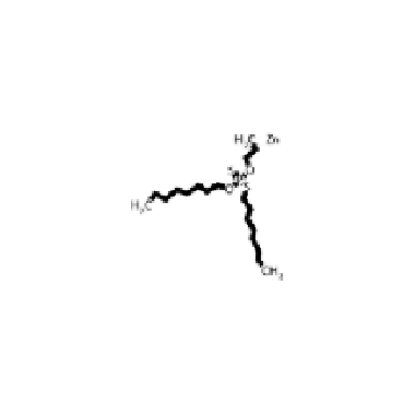 C=CCOP(=S)(OCCCCCCCC)SCCCCCCCC.[Zn]